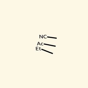 CC#N.CC(C)=O.CCC